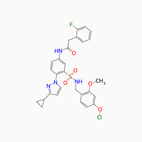 COc1cc(OCl)ccc1CNS(=O)(=O)c1cc(NC(=O)Cc2ccccc2F)ccc1-n1ccc(C2CC2)n1